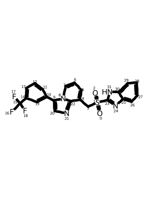 O=S(=O)(Cc1cccn2c(-c3cccc(C(F)(F)F)c3)cnc12)c1nc2ccccc2[nH]1